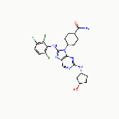 NC(=O)C1CCC(n2c(Nc3c(F)ccc(F)c3F)nc3cnc(N[C@@H]4CC[C@@H](O)C4)nc32)CC1